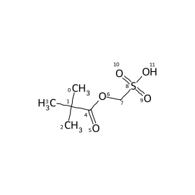 CC(C)(C)C(=O)OCS(=O)(=O)O